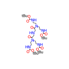 CC(C)(C)OC(=O)NCCN(CCNC(=O)OC(C)(C)C)C(=O)CNCC(=O)N(CCNC(=O)OC(C)(C)C)CCNC(=O)OC(C)(C)C